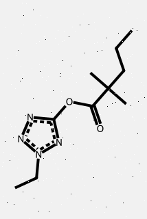 CCCC(C)(C)C(=O)Oc1nnn(CC)n1